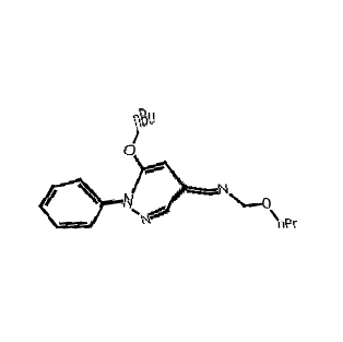 CCCCOc1cc(=NCOCCC)cnn1-c1ccccc1